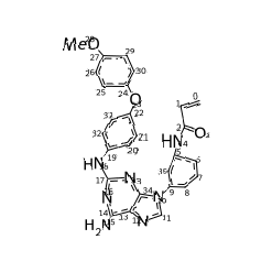 C=CC(=O)Nc1cccc(-n2cnc3c(N)nc(Nc4ccc(Oc5ccc(OC)cc5)cc4)nc32)c1